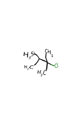 CC([SiH3])C(C)(C)Cl